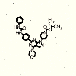 CC(C)OC(=O)N1CCC(n2ncc3c(N4CCOCC4)nc(-c4ccc(NC(=O)Nc5ccccc5)cc4)nc32)CC1